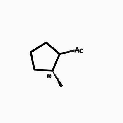 CC(=O)C1CCC[C@H]1C